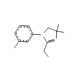 CCOC(=O)C1(O)CN(c2cccc(Cl)c2)C(CC(C)(C)C)=N1